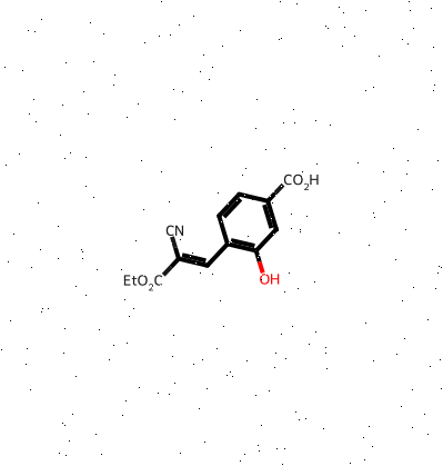 CCOC(=O)C(C#N)=Cc1ccc(C(=O)O)cc1O